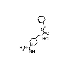 Cl.N=C(N)N1CCC(CCC(=O)OSc2ccccc2)CC1